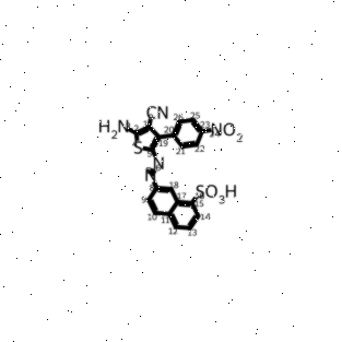 N#Cc1c(N)sc(N=Nc2ccc3cccc(S(=O)(=O)O)c3c2)c1-c1ccc([N+](=O)[O-])cc1